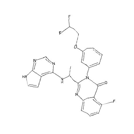 CC(Nc1ncnc2[nH]ccc12)c1nc2cccc(F)c2c(=O)n1-c1cccc(OCC(F)F)c1